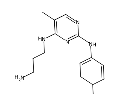 Cc1cnc(NC2=CCC(Br)C=C2)nc1NCCCN